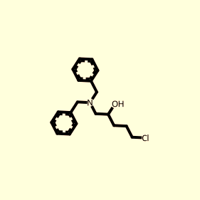 OC(CCCCl)CN(Cc1ccccc1)Cc1ccccc1